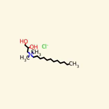 CCCCCCCCCCCC[N+](C)(C)CC(O)CO.[Cl-]